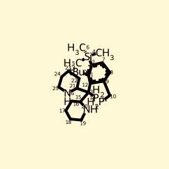 CC(C)(C)c1c([Si](C)(C)C)ccc(CP)c1C(P)(C1CCCCN1)C1CCCCN1